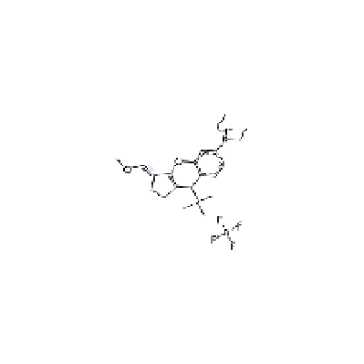 CC[NH+](CC)c1ccc2c(c1)OC1=C(CC/C1=C\OC)C2C(C)(C)C.F[B-](F)(F)F